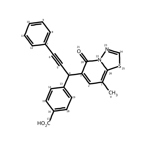 Cc1cc(C(C#Cc2ccccc2)c2ccc(C(=O)O)cc2)c(=O)n2ncsc12